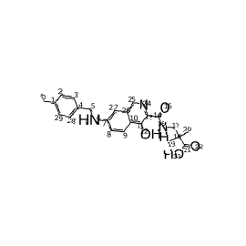 Cc1ccc(CNc2ccc3c(O)c(C(=O)NCC(C)(C)C(=O)O)ncc3c2)cc1